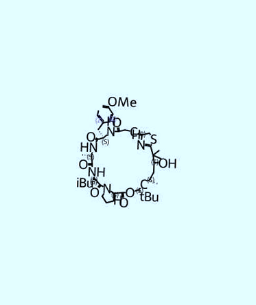 C=C(/C=C\C(=C/C)C[C@@H]1NC(=O)CC[C@@H]2CSC(=N2)C(C)(C)[C@@H](O)C[C@H](C)C[C@@H](C(C)(C)C)OC(=O)[C@@H]2CCCN2C(=O)[C@H]([C@@H](C)CC)NC(=O)[C@H](C)NC1=O)OC